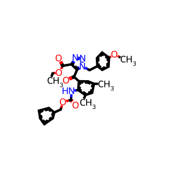 CCOC(=O)c1nnn(Cc2ccc(OC)cc2)c1C(=O)c1cc(C)cc(C)c1NC(=O)OCc1ccccc1